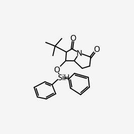 CC(C)(C)C1C(=O)N2C(=O)CCC2C1O[SiH](c1ccccc1)c1ccccc1